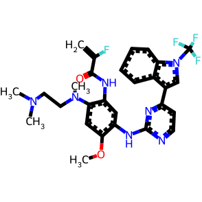 C=C(F)C(=O)Nc1cc(Nc2nccc(-c3cn(C(F)(F)F)c4ccccc34)n2)c(OC)cc1N(C)CCN(C)C